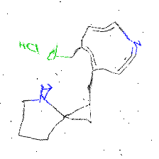 Cl.Clc1ccncc1C1CC12CCCN2